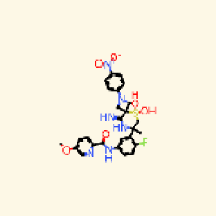 COc1ccc(C(=O)Nc2ccc(F)c(C3(C)CS(O)(O)C4(CN(c5ccc([N+](=O)[O-])cc5)C4)C(=N)N3)c2)nc1